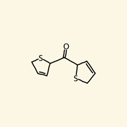 O=C(C1C=CCS1)C1C=CCS1